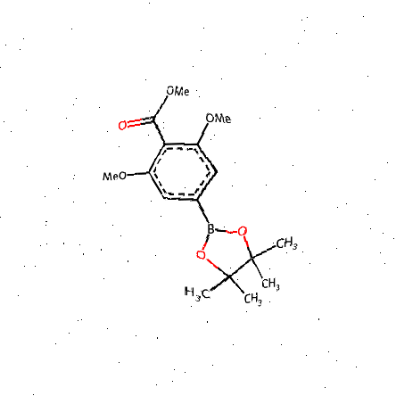 COC(=O)c1c(OC)cc(B2OC(C)(C)C(C)(C)O2)cc1OC